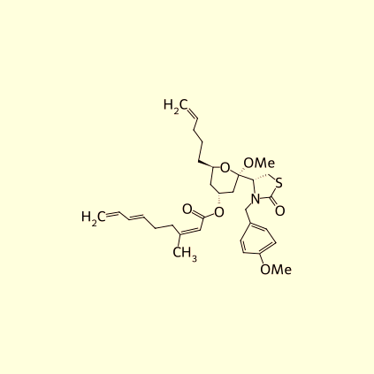 C=C/C=C/CC/C(C)=C\C(=O)O[C@@H]1C[C@@H](CCCC=C)O[C@@](OC)([C@@H]2CSC(=O)N2Cc2ccc(OC)cc2)C1